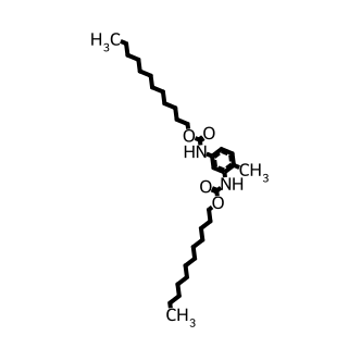 CCCCCCCCCCCCOC(=O)Nc1ccc(C)c(NC(=O)OCCCCCCCCCCCC)c1